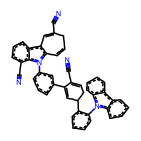 N#CC1=Cc2c(n(-c3cccc(C4=CC(c5ccccc5-n5c6ccccc6c6ccccc65)CC=C4C#N)c3)c3c(C#N)cccc23)C=CC1